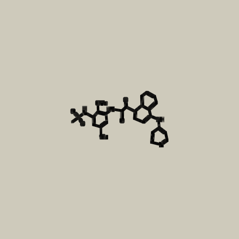 COc1c(NC(=O)C(=O)c2ccc(Nc3ccncc3)c3ccccc23)cc(C(C)(C)C)cc1NS(C)(=O)=O